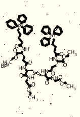 CCOC(=O)CNC(=O)[C@H](CSSC[C@H](NC(=O)CC[C@H](NC(=O)CCCC[P+](c1ccccc1)(c1ccccc1)c1ccccc1)C(=O)OCC)C(=O)NCC(=O)OCC)NC(=O)CC[C@H](NC(=O)CCCC[P+](c1ccccc1)(c1ccccc1)c1ccccc1)C(=O)OCC.[Br-].[Br-]